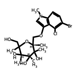 Cn1cc(OC[C@@]2(C)OC(C)(CO)[C@@](C)(O)[C@@](C)(O)C2(C)O)c2c(Cl)c(Br)ccc21